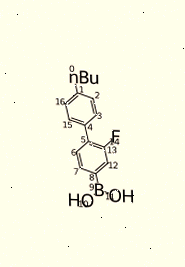 CCCCc1ccc(-c2ccc(B(O)O)cc2F)cc1